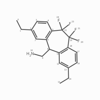 CCc1ccc2c(c1)C(CN)c1cc(CC)ccc1C(F)(F)C2(F)F